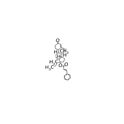 CCCC1(OC(=O)/C=C/c2ccccc2)CC[C@H]2[C@@H]3CCC4=CC(=O)CC[C@]4(C)[C@@H]3CC[C@@]21C